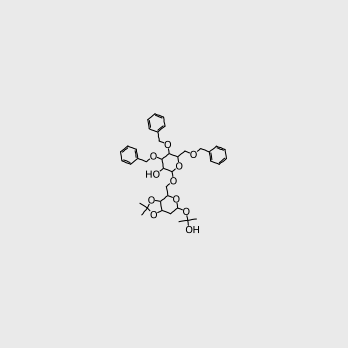 CC(C)(O)OC1CC2OC(C)(C)OC2C(COC2OC(COCc3ccccc3)C(OCc3ccccc3)C(OCc3ccccc3)C2O)O1